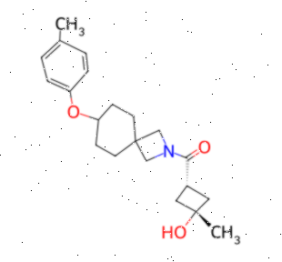 Cc1ccc(OC2CCC3(CC2)CN(C(=O)[C@H]2C[C@@](C)(O)C2)C3)cc1